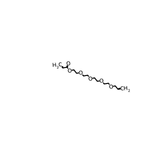 C=CCOCCOCCOCCOCCOC(=O)C=C